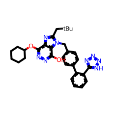 CC(C)(C)Cc1nc2c(OC3CCCCC3)nnc(O)c2n1Cc1ccc(-c2ccccc2-c2nnn[nH]2)cc1